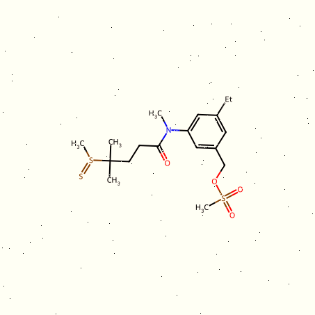 CCc1cc(COS(C)(=O)=O)cc(N(C)C(=O)CCC(C)(C)S(C)=S)c1